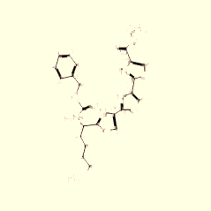 CCCCCC(NC(=O)OCc1ccccc1)c1nc(-c2nc(-c3nc(C(=O)OC)co3)co2)co1